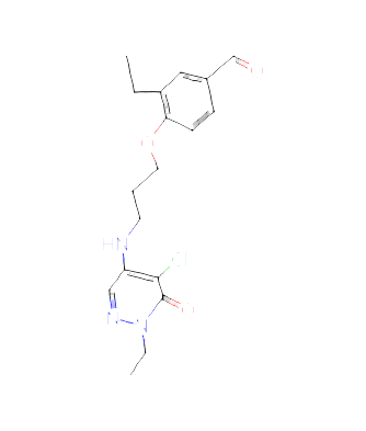 CCc1cc(C=O)ccc1OCCCNc1cnn(CC)c(=O)c1Cl